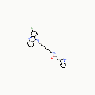 O=C(CCc1c[nH]c2ccccc12)NCCCCCCCNc1c2c(nc3cc(Cl)ccc13)CCCC2